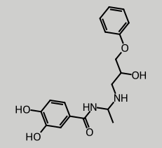 CC(NCC(O)COc1ccccc1)NC(=O)c1ccc(O)c(O)c1